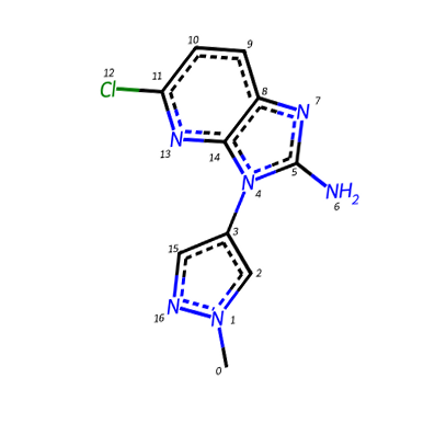 Cn1cc(-n2c(N)nc3ccc(Cl)nc32)cn1